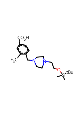 CC(C)(C)[Si](C)(C)OCCN1CCN(Cc2ccc(C(=O)O)cc2C(F)(F)F)CC1